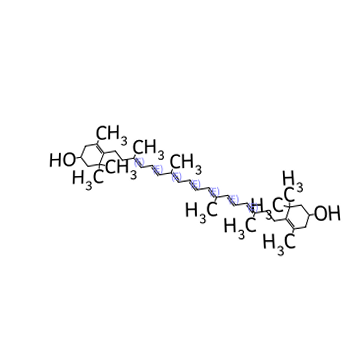 CC1=C(CC/C(C)=C/C=C/C(C)=C/C=C/C=C(C)/C=C/C=C(\C)CCC2=C(C)CC(O)CC2(C)C)C(C)(C)CC(O)C1